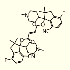 CN1CCC(C2(OC(=O)/C=C/C(=O)OC3(C4CCN(C)CC4)c4c(C#N)ccc(F)c4CC3(C)C)c3c(C#N)ccc(F)c3CC2(C)C)CC1